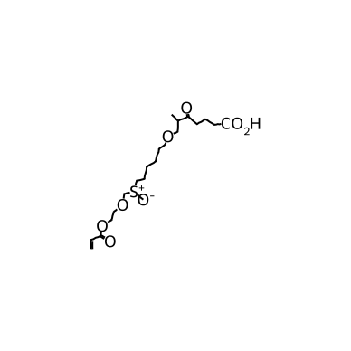 C=CC(=O)OCCOC[S+]([O-])CCCCCCOCC(C)C(=O)CCCC(=O)O